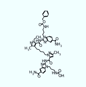 CCn1nc(C)c(CCCCCn2nc(C)cc2C(=O)Nc2nc3cc(C(N)=O)ccc3n2CCCNC(=O)O)c1C(=O)Nc1nc2cc(C(N)=O)ccc2n1CCCNC(=O)OCc1ccccc1